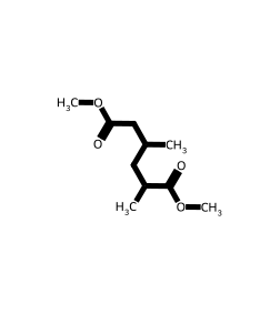 COC(=O)CC(C)CC(C)C(=O)OC